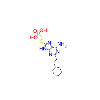 Nc1nc(CCC2CCCCC2)nc2[nH]c(SCP(=O)(O)O)nc12